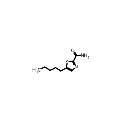 CCCCCc1cnc(C(N)=O)s1